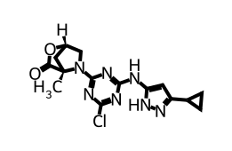 C[C@@]12C[C@@H](CN1c1nc(Cl)nc(Nc3cc(C4CC4)n[nH]3)n1)OC2=O